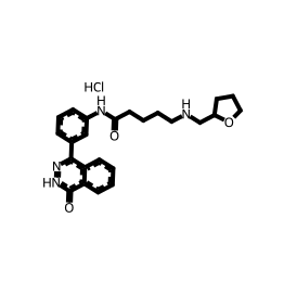 Cl.O=C(CCCCNCC1CCCO1)Nc1cccc(-c2n[nH]c(=O)c3ccccc23)c1